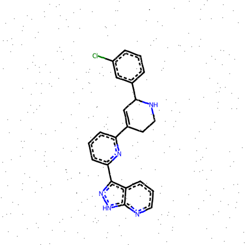 Clc1cccc(C2C=C(c3cccc(-c4n[nH]c5ncccc45)n3)CCN2)c1